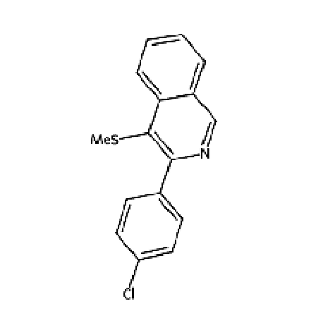 CSc1c(-c2ccc(Cl)cc2)ncc2ccccc12